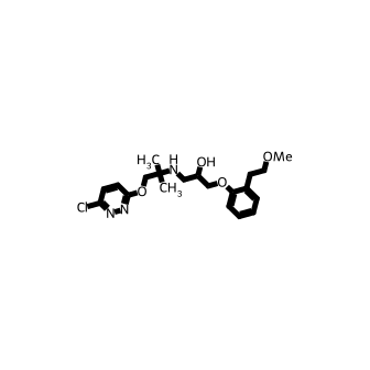 COCCc1ccccc1OCC(O)CNC(C)(C)COc1ccc(Cl)nn1